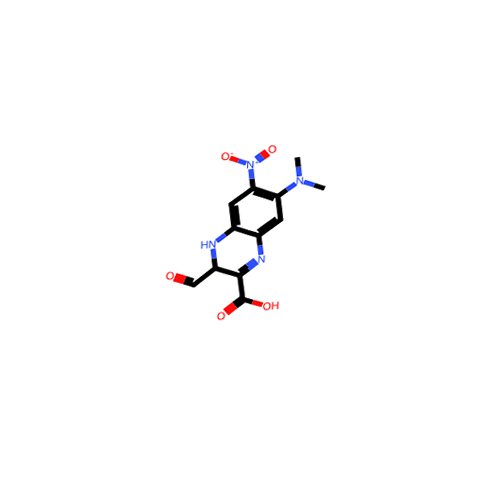 CN(C)c1cc2c(cc1[N+](=O)[O-])NC(C=O)C(C(=O)O)=N2